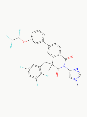 Cn1cnc(N2C(=O)c3ccc(-c4cccc(OC(F)C(F)F)c4)cc3C(C)(Cc3cc(F)cc(F)c3F)C2=O)c1